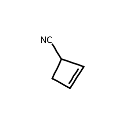 N#CC1C=CC1